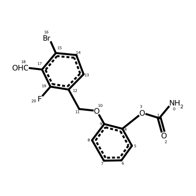 NC(=O)Oc1ccccc1OCc1ccc(Br)c(C=O)c1F